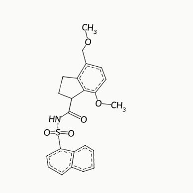 COCc1ccc(OC)c2c1CCC2C(=O)NS(=O)(=O)c1cccc2ccccc12